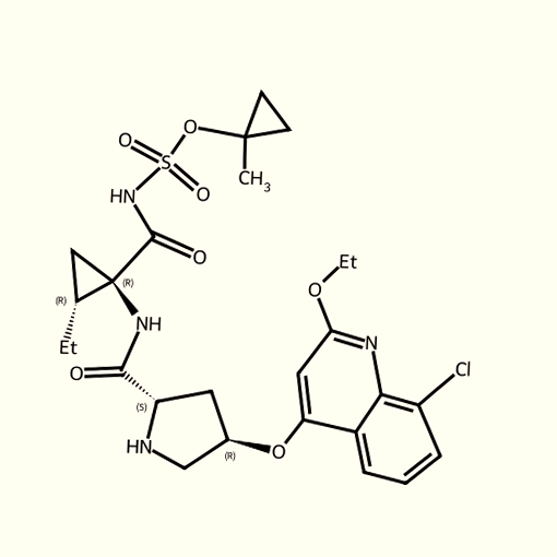 CCOc1cc(O[C@H]2CN[C@H](C(=O)N[C@]3(C(=O)NS(=O)(=O)OC4(C)CC4)C[C@H]3CC)C2)c2cccc(Cl)c2n1